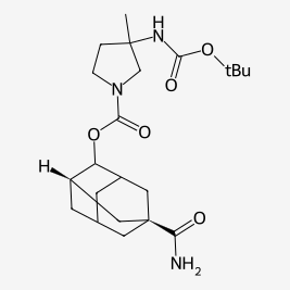 CC1(NC(=O)OC(C)(C)C)CCN(C(=O)OC2C3CC4C[C@H]2C[C@@](C(N)=O)(C4)C3)C1